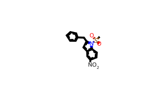 CS(=O)(=O)n1c(Cc2ccccc2)cc2cc([N+](=O)[O-])ccc21